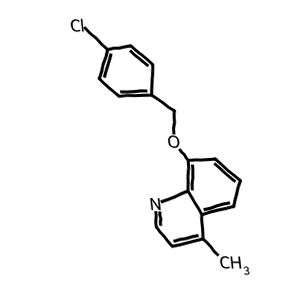 Cc1ccnc2c(OCc3ccc(Cl)cc3)cccc12